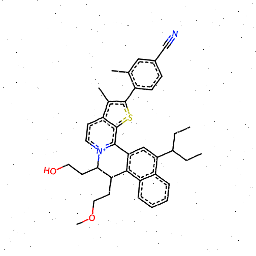 CCC(CC)c1cc2c(c3ccccc13)C(CCOC)C(CCO)[n+]1ccc3c(C)c(-c4ccc(C#N)cc4C)sc3c1-2